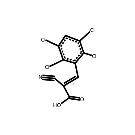 N#C/C(=C\c1c(Cl)c(Cl)cc(Cl)c1Cl)C(=O)O